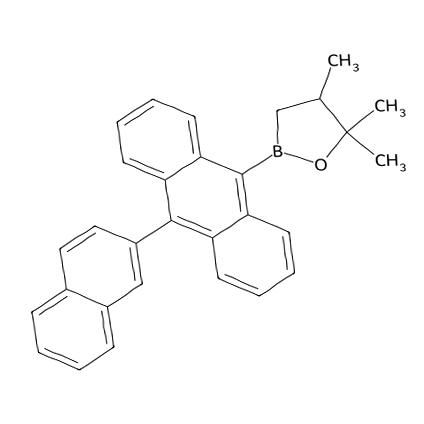 CC1CB(c2c3ccccc3c(-c3ccc4ccccc4c3)c3ccccc23)OC1(C)C